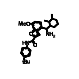 COc1ccc(C(N)C2CCCC(C)C2C)c2cc(C(=O)Nc3ccc(C(C)(C)C)cc3)oc12